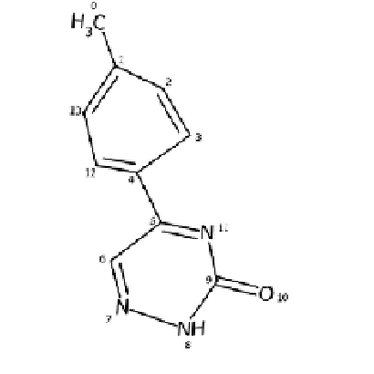 Cc1ccc(-c2cn[nH]c(=O)n2)cc1